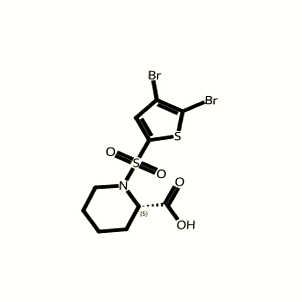 O=C(O)[C@@H]1CCCCN1S(=O)(=O)c1cc(Br)c(Br)s1